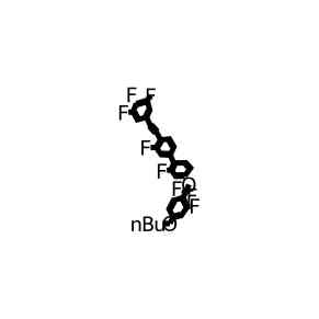 CCCCOc1ccc(C(F)(F)Oc2ccc(-c3ccc(C#Cc4cc(F)c(F)c(F)c4)c(F)c3)c(F)c2)c(F)c1